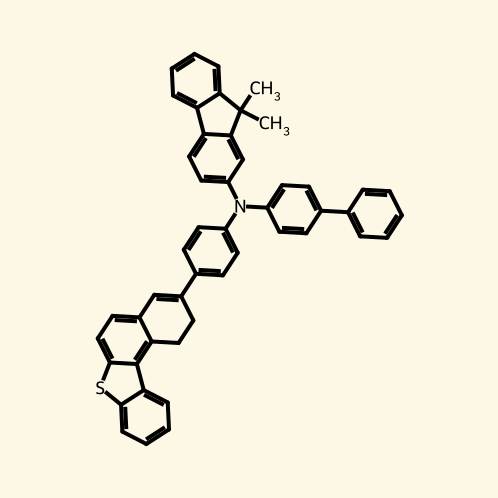 CC1(C)c2ccccc2-c2ccc(N(c3ccc(C4=Cc5ccc6sc7ccccc7c6c5CC4)cc3)c3ccc(-c4ccccc4)cc3)cc21